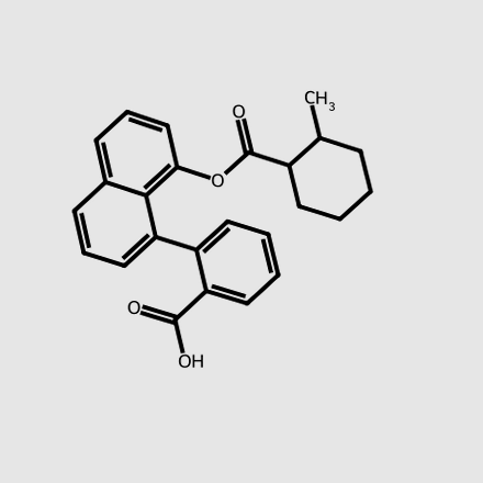 CC1CCCCC1C(=O)Oc1cccc2cccc(-c3ccccc3C(=O)O)c12